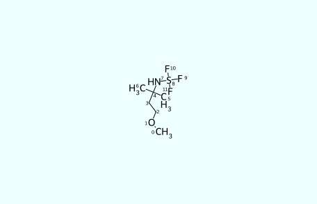 COCCC(C)(C)NS(F)(F)F